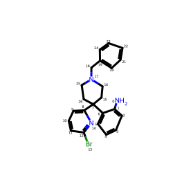 Nc1ccccc1C1(c2cccc(Br)n2)CCN(Cc2ccccc2)CC1